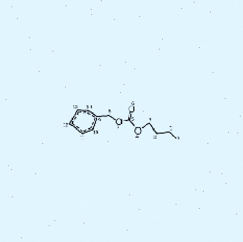 CCCCOC(=O)OCc1ccccc1